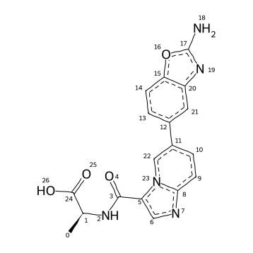 C[C@H](NC(=O)c1cnc2ccc(-c3ccc4oc(N)nc4c3)cn12)C(=O)O